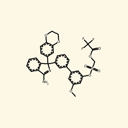 COc1cc(OS(=O)(=O)COC(=O)C(F)(F)F)cc(-c2cccc(C3(c4ccc5c(c4)OCCO5)N=C(N)c4ccccc43)c2)c1